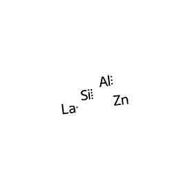 [Al].[La].[Si].[Zn]